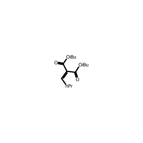 CCCC=C(C(=O)OCC(C)C)C(=O)OCC(C)C